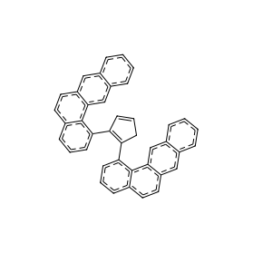 C1=CC(c2cccc3ccc4cc5ccccc5cc4c23)=C(c2cccc3ccc4cc5ccccc5cc4c23)C1